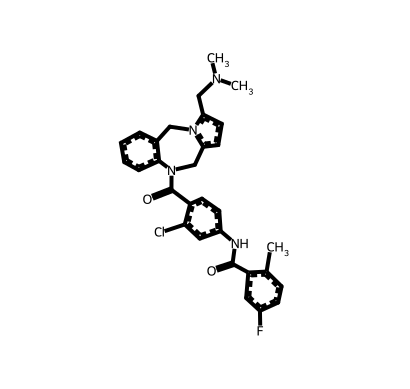 Cc1ccc(F)cc1C(=O)Nc1ccc(C(=O)N2Cc3ccc(CN(C)C)n3Cc3ccccc32)c(Cl)c1